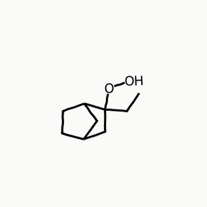 CCC1(OO)CC2CCC1C2